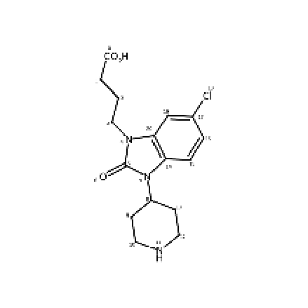 O=C(O)CCCn1c(=O)n(C2CCNCC2)c2ccc(Cl)cc21